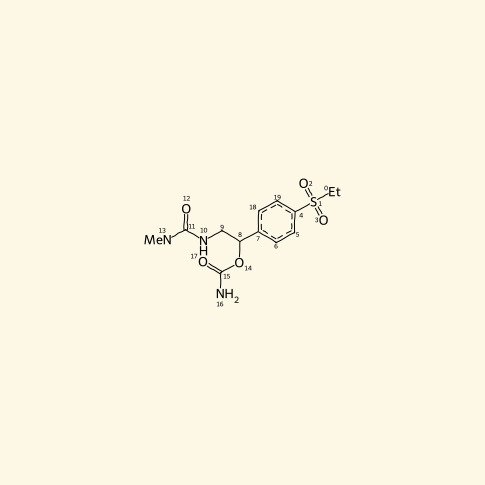 CCS(=O)(=O)c1ccc(C(CNC(=O)NC)OC(N)=O)cc1